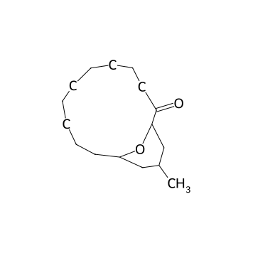 CC1CC2CCCCCCCCCC(=O)C(C1)O2